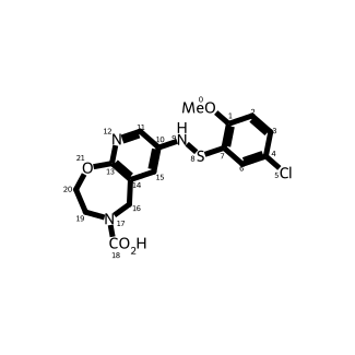 COc1ccc(Cl)cc1SNc1cnc2c(c1)CN(C(=O)O)CCO2